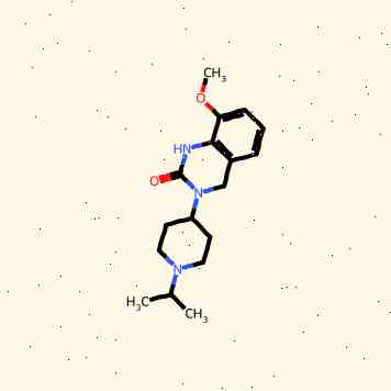 COc1cccc2c1NC(=O)N(C1CCN(C(C)C)CC1)C2